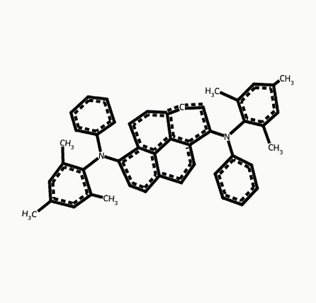 Cc1cc(C)c(N(c2ccccc2)c2ccc3ccc4c(N(c5ccccc5)c5c(C)cc(C)cc5C)ccc5ccc2c3c54)c(C)c1